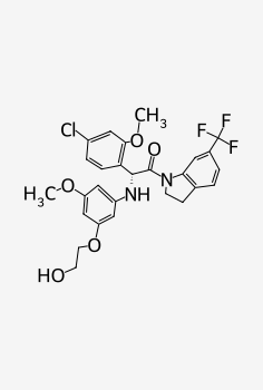 COc1cc(N[C@@H](C(=O)N2CCc3ccc(C(F)(F)F)cc32)c2ccc(Cl)cc2OC)cc(OCCO)c1